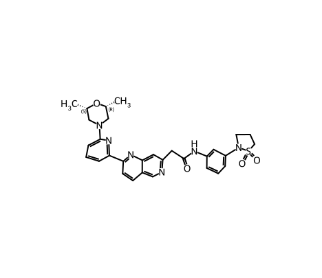 C[C@@H]1CN(c2cccc(-c3ccc4cnc(CC(=O)Nc5cccc(N6CCCS6(=O)=O)c5)cc4n3)n2)C[C@H](C)O1